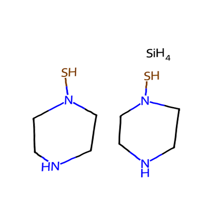 SN1CCNCC1.SN1CCNCC1.[SiH4]